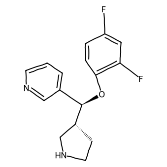 Fc1ccc(O[C@H](c2cccnc2)[C@@H]2CCNC2)c(F)c1